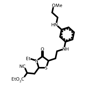 CCOC(=O)C(C#N)CC1SC(CCNc2cccc(NCCOC)c2)C(=O)N1CC